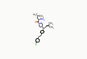 CC(C)=CC[As](c1ccc(CCc2ccc(Cl)cc2)cc1)C1CCN(C(=O)[C@H](N)CC(C)C)CC1